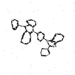 C1=CCCC(c2nc3ccccc3n2-c2ccc(-c3c4ccccc4c(-c4ccccc4)c4ccccc34)cc2)=C1